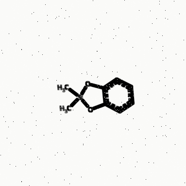 C[Si]1(C)Oc2ccccc2O1